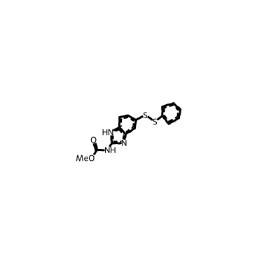 COC(=O)Nc1nc2cc(SSc3ccccc3)ccc2[nH]1